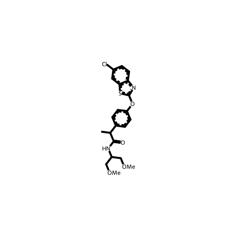 COCC(COC)NC(=O)C(C)c1ccc(Oc2nc3ccc(Cl)cc3s2)cc1